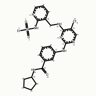 CCS(=O)(=O)Nc1ncccc1CNc1nc(Nc2cccc(C(=O)NC3CCCC3)c2)ncc1C(F)(F)F